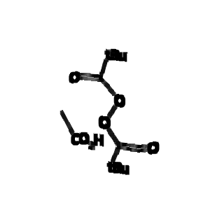 CC(=O)O.CC(C)(C)C(=O)OOC(=O)C(C)(C)C